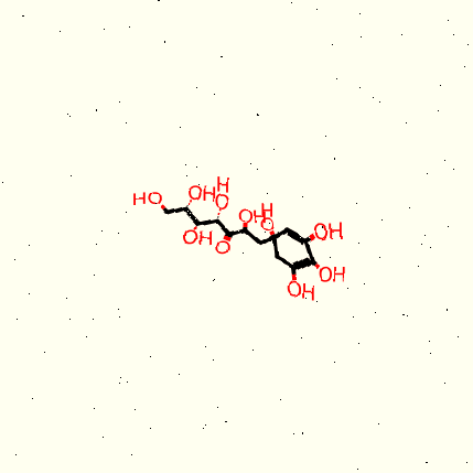 O=C(C(O)CC1(O)C=C(O)C(O)=C(O)C1)[C@@H](O)[C@H](O)[C@@H](O)CO